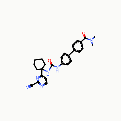 CN(C)C(=O)c1ccc(-c2ccc(NC(=O)NC3(c4ccnc(C#N)n4)CCCCC3)cc2)cc1